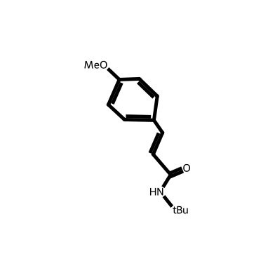 COc1ccc(/C=C/C(=O)NC(C)(C)C)cc1